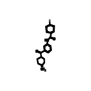 CN1CCC(C(=O)c2cccc(NC(=O)c3ccc(I)cc3)c2)CC1